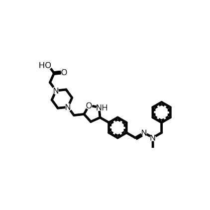 CN(Cc1ccccc1)N=Cc1ccc(C2CC(CN3CCN(CC(=O)O)CC3)ON2)cc1